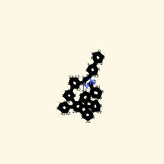 c1ccc(-c2ccc(-c3cc(-c4cccc(-c5cccc(-c6cc7c(cc6-c6ccccc6)-c6ccccc6C76c7ccccc7-c7ccccc76)c5)c4)nc(-c4ccccc4)n3)cc2)cc1